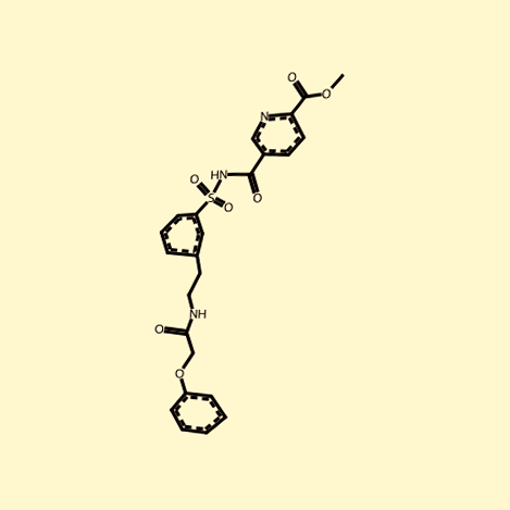 COC(=O)c1ccc(C(=O)NS(=O)(=O)c2cccc(CCNC(=O)COc3ccccc3)c2)cn1